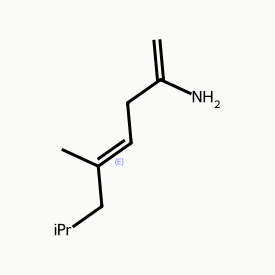 C=C(N)C/C=C(\C)CC(C)C